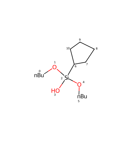 CCCCO[Si](O)(OCCCC)C1CCCC1